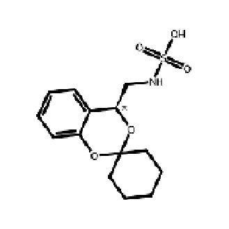 O=S(=O)(O)NC[C@H]1OC2(CCCCC2)Oc2ccccc21